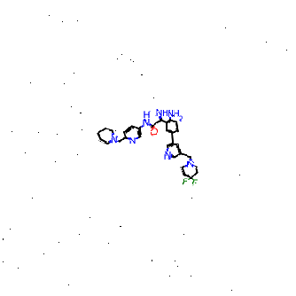 N=C(C(=O)Nc1ccc(CN2CCCCC2)nc1)c1cc(-c2cncc(CN3CCC(F)(F)CC3)c2)ccc1N